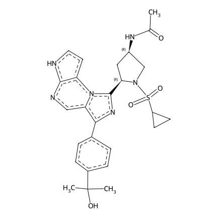 CC(=O)N[C@@H]1C[C@H](c2nc(-c3ccc(C(C)(C)O)cc3)c3cnc4[nH]ccc4n23)N(S(=O)(=O)C2CC2)C1